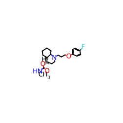 CNC(=O)O[C@H]1CCN(CCCOc2ccc(F)cc2)C2CCCC[C@H]21